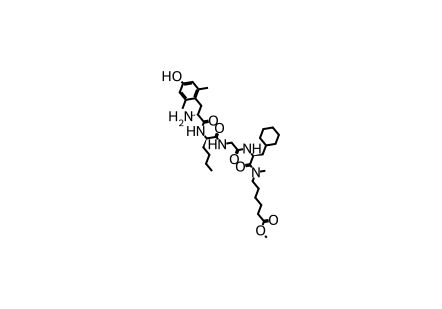 CCCC[C@@H](NC(=O)[C@H](N)Cc1c(C)cc(O)cc1C)C(=O)NCC(=O)N[C@@H](CC1CCCCC1)C(=O)N(C)CCCCCC(=O)OC